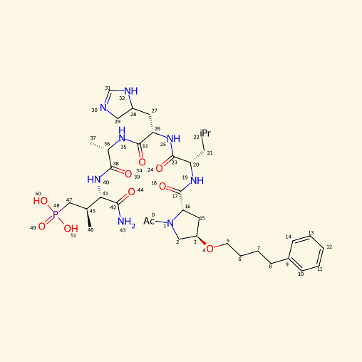 CC(=O)N1C[C@H](OCCCCc2ccccc2)C[C@H]1C(=O)N[C@@H](CC(C)C)C(=O)N[C@@H](CC1CN=CN1)C(=O)N[C@@H](C)C(=O)N[C@H](C(N)=O)[C@@H](C)CP(=O)(O)O